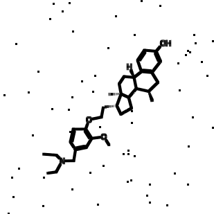 CCN(CC)Cc1ccc(OCC[C@H]2CCC3C4[C@H](C)Cc5cc(O)ccc5[C@H]4CC[C@@]32C)c(OC)c1